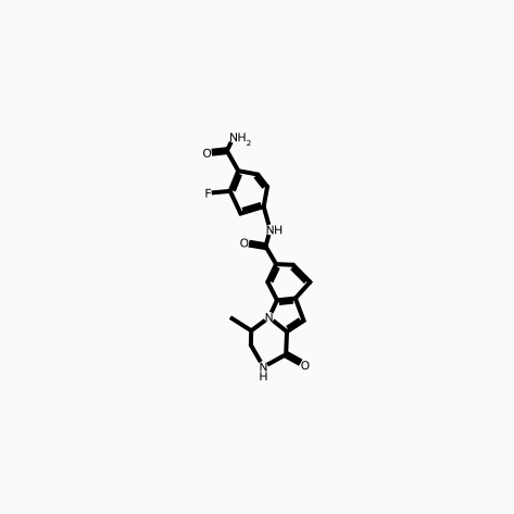 CC1CNC(=O)c2cc3ccc(C(=O)Nc4ccc(C(N)=O)c(F)c4)cc3n21